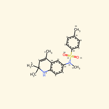 CC1=CC(C)(C)Nc2ccc(N(C)S(=O)(=O)c3ccc(C)cc3)cc21